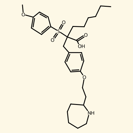 CCCCCCC(Cc1ccc(OCCC2CCCCCN2)cc1)(C(=O)O)S(=O)(=O)c1ccc(OC)cc1